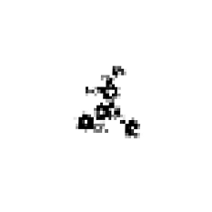 CN1CC[C@@H](COc2nc3c(c(N4CCN(C(=O)OC(C)(C)C)C(CC#N)C4)n2)CCN(c2ccccc2C(F)(F)F)C3)C1